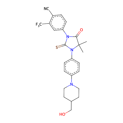 CC1(C)C(=O)N(c2ccc(C#N)c(C(F)(F)F)c2)C(=S)N1c1ccc(N2CCC(CO)CC2)cc1